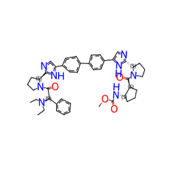 CCN(CC)[C@@H](C(=O)N1CCC[C@H]1c1ncc(-c2ccc(-c3ccc(-c4cnc([C@@H]5CCCN5C(=O)[C@H]5CCC[C@@H]5NC(=O)OC)[nH]4)cc3)cc2)[nH]1)c1ccccc1